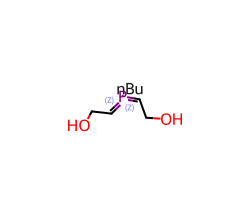 CCCC/P(=C\CO)=C\CO